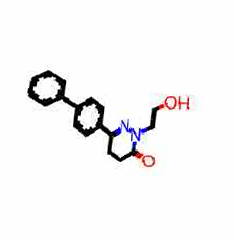 O=C1CCC(c2ccc(-c3ccccc3)cc2)=NN1CCO